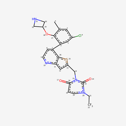 Cc1cc(Cl)cc(-c2ccnc3cc(Cn4c(=O)ccn(CC(F)(F)F)c4=O)sc23)c1OC1CNC1